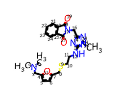 CN(C)Cc1ccc(CSCCNc2nc(CN3C(=O)c4ccccc4C3=O)nn2C)o1